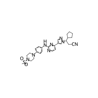 CS(=O)(=O)N1CCN(c2ccc(Nc3nccc(-c4cnn(C(CC#N)C5CCCC5)c4)n3)cc2)CC1